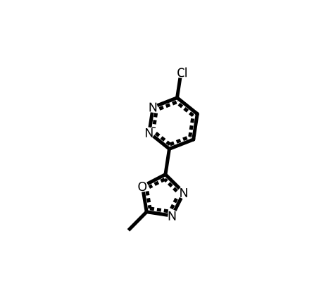 Cc1nnc(-c2ccc(Cl)nn2)o1